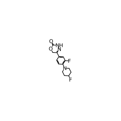 O=C1NN=C(c2ccc(N3CCC(F)CC3)c(F)c2)CO1